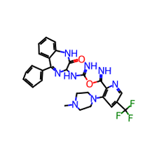 CN1CCN(c2cc(C(F)(F)F)cnc2C(=N)OC(=N)NC2N=C(c3ccccc3)c3ccccc3NC2=O)CC1